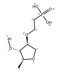 CC(C)O[C@H]1[C@H](C)OC[C@@H]1OCCP(=O)(O)O